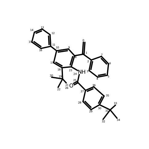 C=C(c1ccccc1)c1cc(-c2ccccc2)cc(C(C)(C)C)c1NC(=O)c1ccc(C(C)(C)C)cc1